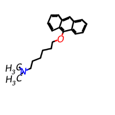 CN(C)CCCCCCOc1c2ccccc2cc2ccccc12